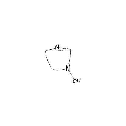 ON1C=NCC1